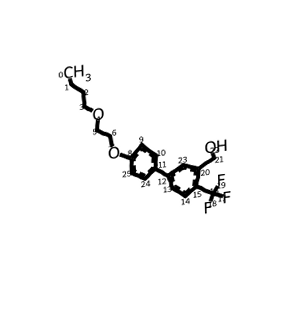 CCCCOCCOc1ccc(-c2ccc(C(F)(F)F)c(CO)c2)cc1